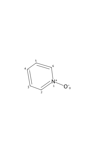 [O-][n+]1c[c][c]cc1